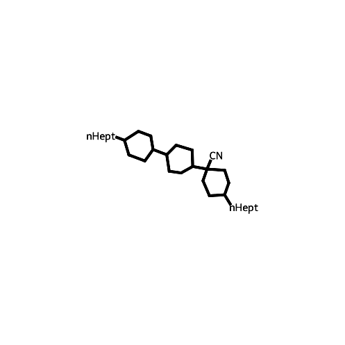 CCCCCCCC1CCC(C2CCC(C3(C#N)CCC(CCCCCCC)CC3)CC2)CC1